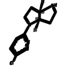 Clc1ccc(N2CC[C@@H]3NCC[C@@H]32)nn1